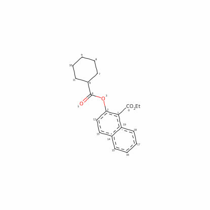 CCOC(=O)c1c(OC(=O)C2CCCCC2)ccc2ccccc12